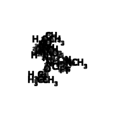 CCn1nc2ccc(-c3cn(COCC[Si](C)(C)C)c4nc(N5C[C@@H]6CC[C@H](C5)[C@H](NC(=O)OC(C)(C)C)C6)n(C)c(=O)c34)c(Cl)c2c1C(F)F